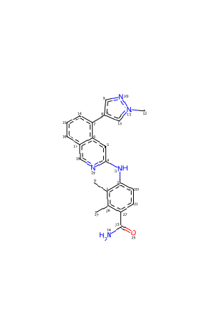 Cc1c(Nc2cc3c(-c4cnn(C)c4)cccc3cn2)ccc(C(N)=O)c1C